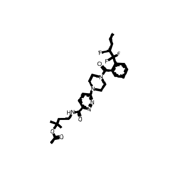 CCCC(F)C(F)(F)c1ccccc1C(=O)N1CCN(c2ccc(C(=O)NCCC(C)(C)OC(C)=O)nn2)CC1